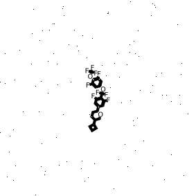 Fc1cc(OC(F)(F)c2c(F)cc(C3CCC(C4CCC4)CO3)cc2F)cc(F)c1OC(F)(F)F